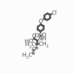 CSOSC(C)(C)[C@@H](NS(=O)(=O)c1ccc(Oc2ccc(Cl)cc2)cc1)C(=O)O